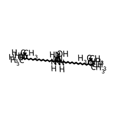 CC1(C)CC(CCCCCCCCCCCCNc2nc(NO)nc(NCCCCCCCCCCCCC3CC(C)(C)NC(C)(C)C3)n2)CC(C)(C)N1